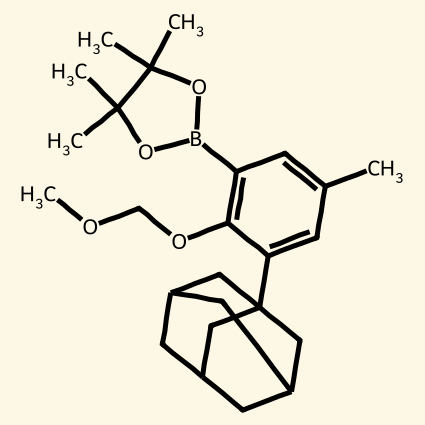 COCOc1c(B2OC(C)(C)C(C)(C)O2)cc(C)cc1C12CC3CC(CC(C3)C1)C2